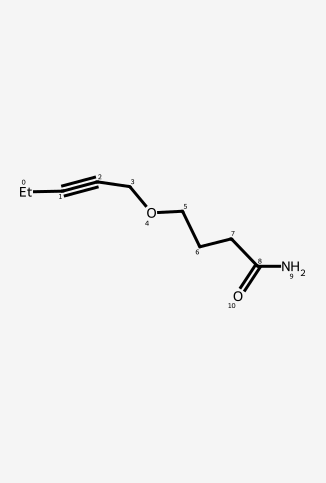 CCC#CCOCCCC(N)=O